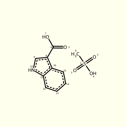 CS(=O)(=O)O.O=C(O)c1c[nH]c2ccccc12